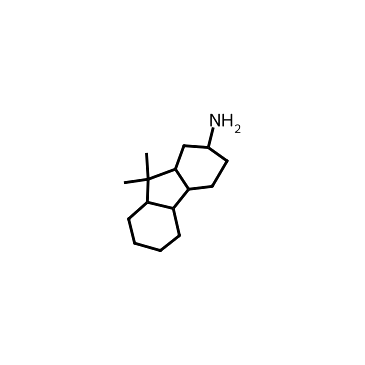 CC1(C)C2CCCCC2C2CCC(N)CC21